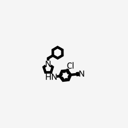 N#Cc1ccc(N[C@H]2CCN(CC3CCCCC3)C2)cc1Cl